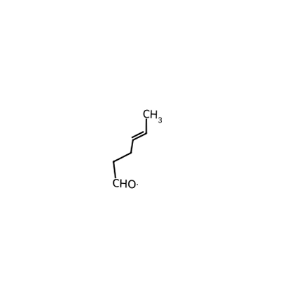 CC=CCC[C]=O